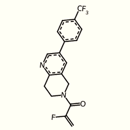 C=C(F)C(=O)N1CCc2ncc(-c3ccc(C(F)(F)F)cc3)cc2C1